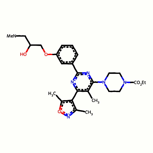 CCOC(=O)N1CCN(c2nc(-c3cccc(OCC(O)CNC)c3)nc(-c3c(C)noc3C)c2C)CC1